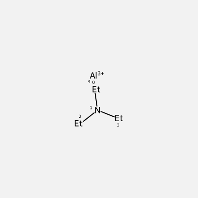 CCN(CC)CC.[Al+3]